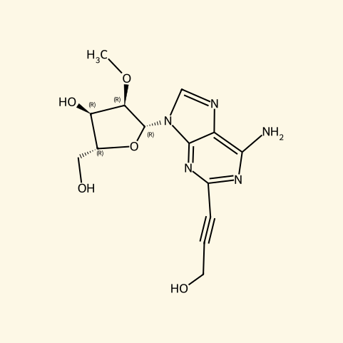 CO[C@@H]1[C@H](O)[C@@H](CO)O[C@H]1n1cnc2c(N)nc(C#CCO)nc21